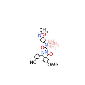 BC(B)(B)N(C(=O)Cn1nc(-c2cccc(C#N)c2)c2ccc(OC)cc2c1=O)c1ccc2nc(C)oc2c1